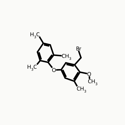 COc1c(C)cc(Oc2c(C)cc(C)cc2C)cc1CBr